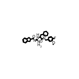 COc1cc(CNC(=O)C(CC2CCCCC2)NC(N)=NC(=O)C2Cc3ccccc3C2)ccc1F